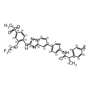 C[C@@H](C(=O)Nc1ccc(-c2ccn3nc(Nc4ccc(S(C)(=O)=O)cc4OCC(F)(F)F)nc3c2)cc1)c1ccc(F)cc1